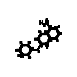 Nc1nccc2nc(Cc3cccnc3)ccc12